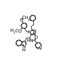 COc1ccc(Cn2c(CCc3ccccc3)nnc2C(Cc2c[nH]c3ccccc23)NC(=O)c2ccncc2)c(OC)c1